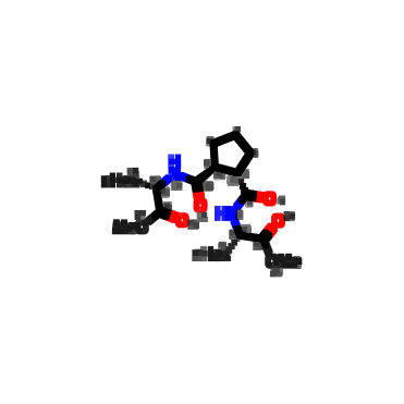 CCCCCC[C@H](NC(=O)[C@H]1CCC[C@@H]1C(=O)N[C@@H](CCCCCC)C(=O)OC)C(=O)OC